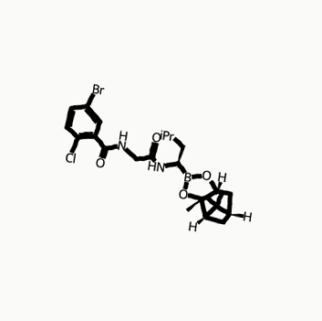 CC(C)C[C@H](NC(=O)CNC(=O)c1cc(Br)ccc1Cl)B1O[C@@H]2C[C@@H]3C[C@@H](C3(C)C)[C@]2(C)O1